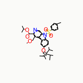 COCc1c(C(=O)OC(C)C)ncc2c1c1cc(O[Si](C(C)C)(C(C)C)C(C)C)ccc1n2S(=O)(=O)c1ccc(C)cc1